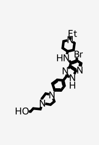 CCN1CCC(Nc2c(Br)cnc3[nH]c(-c4ccc(N5CCN(CCCO)CC5)cc4)nc23)CC1